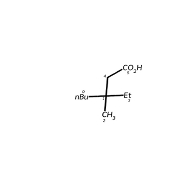 CCCCC(C)(CC)CC(=O)O